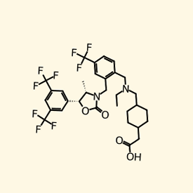 CCN(Cc1ccc(C(F)(F)F)cc1CN1C(=O)O[C@H](c2cc(C(F)(F)F)cc(C(F)(F)F)c2)[C@@H]1C)CC1CCC(CC(=O)O)CC1